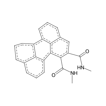 CNC(=O)c1cc2cccc3c4cccc5cccc(c(c1C(=O)NC)c23)c54